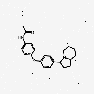 CC(=O)Nc1ccc(Sc2ccc(C3CCC4CCCCN43)cc2)cc1